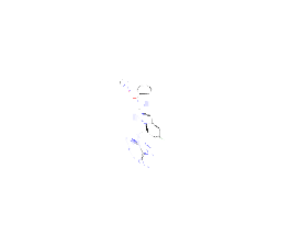 Nc1ncnc2c1ncn2Cc1cc(Cl)cc2cc(CNC(=O)c3ccccc3C(=O)N3CCCC3)[nH]c12